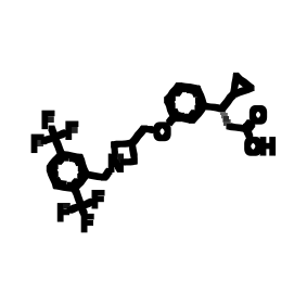 O=C(O)C[C@H](c1cccc(OCC2CN(Cc3cc(C(F)(F)F)ccc3C(F)(F)F)C2)c1)C1CC1